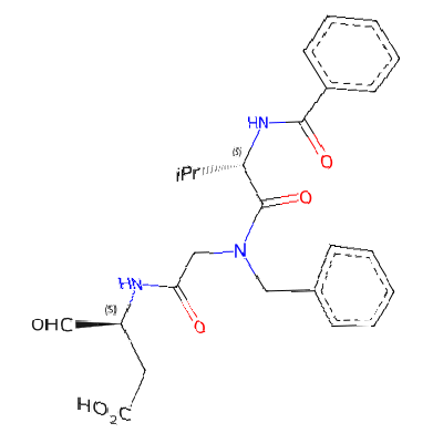 CC(C)[C@H](NC(=O)c1ccccc1)C(=O)N(CC(=O)N[C@H](C=O)CC(=O)O)Cc1ccccc1